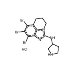 Brc1c(Br)c2c3c(nc(NC4CCNC4)n3CCC2)c1Br.Cl